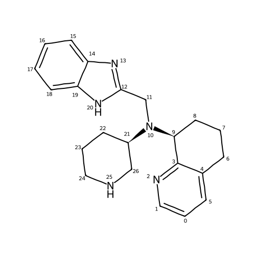 c1cnc2c(c1)CCC[C@@H]2N(Cc1nc2ccccc2[nH]1)[C@@H]1CCCNC1